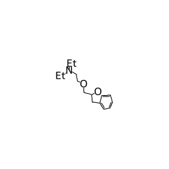 CCN(CC)CCOCC1Cc2ccccc2O1